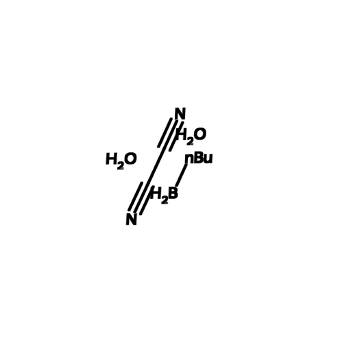 BCCCC.N#CC#N.O.O